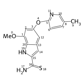 COc1cc(Oc2ccc(C)cn2)cc2cc(C(N)=S)[nH]c12